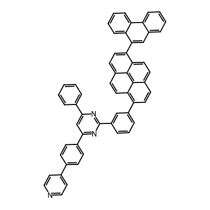 c1ccc(-c2cc(-c3ccc(-c4ccncc4)cc3)nc(-c3cccc(-c4ccc5ccc6c(-c7cc8ccccc8c8ccccc78)ccc7ccc4c5c76)c3)n2)cc1